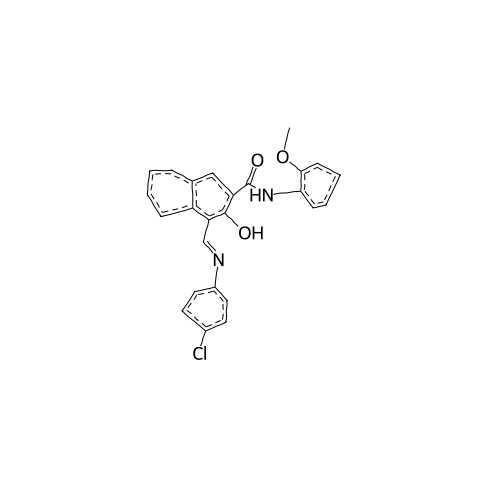 COc1ccccc1NC(=O)c1cc2ccccc2c(/C=N/c2ccc(Cl)cc2)c1O